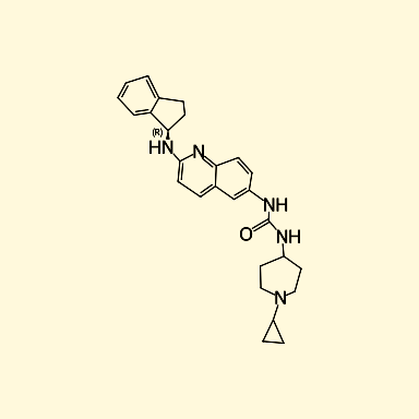 O=C(Nc1ccc2nc(N[C@@H]3CCc4ccccc43)ccc2c1)NC1CCN(C2CC2)CC1